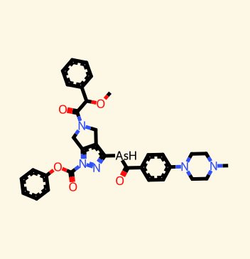 COC(C(=O)N1Cc2c([AsH]C(=O)c3ccc(N4CCN(C)CC4)cc3)nn(C(=O)Oc3ccccc3)c2C1)c1ccccc1